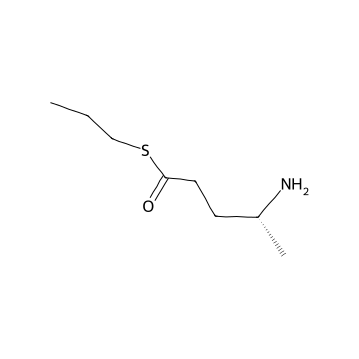 CCCSC(=O)CC[C@@H](C)N